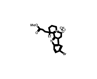 CCC1(CCC(=O)OC)CCC[N+]2=C1C1=Nc3ccc(Br)cc3C1CC2.C[O-]